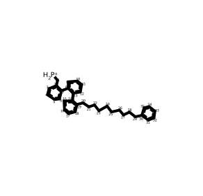 PCc1ccccc1-c1ccccc1-c1ccccc1CCCCCCCCCCc1ccccc1